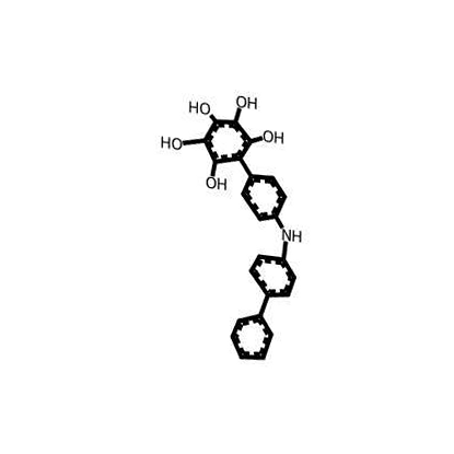 Oc1c(O)c(O)c(-c2ccc(Nc3ccc(-c4ccccc4)cc3)cc2)c(O)c1O